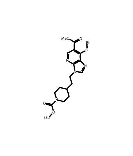 CCOc1c(C(=O)OC)cnc2c1ncn2CCC1CCN(C(=O)OC(C)(C)C)CC1